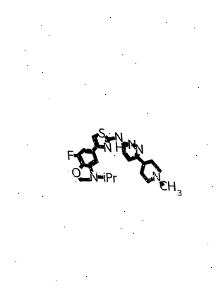 CC(C)N1CCOc2c(F)cc(-c3csc(Nc4ccc(C5CCN(C)CC5)nn4)n3)cc21